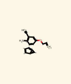 C#Cc1cc(OCC=C)ccc1[SiH3].c1cc2cc-2c1